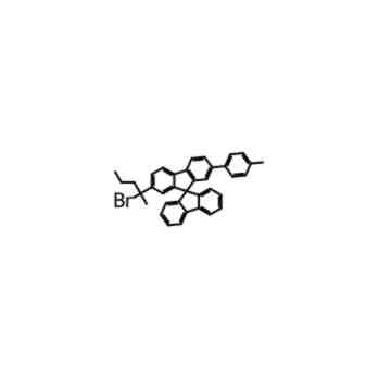 CCCC(C)(Br)c1ccc2c(c1)C1(c3ccccc3-c3ccccc31)c1cc(-c3ccc(C)cc3)ccc1-2